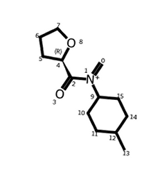 C=[N+](C(=O)[C@H]1CCCO1)C1CCC(C)CC1